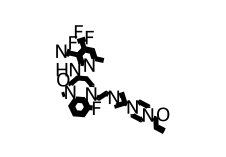 C=CC(=O)N1CCN(C2CN(CCN3CC[C@H](Nc4nc(C)cc(C(F)(F)F)c4C#N)C(=O)N(C)c4cccc(F)c43)C2)CC1